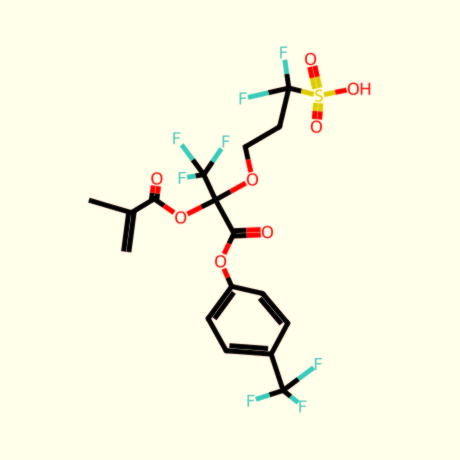 C=C(C)C(=O)OC(OCCC(F)(F)S(=O)(=O)O)(C(=O)Oc1ccc(C(F)(F)F)cc1)C(F)(F)F